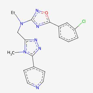 CCN(Cc1nnc(-c2ccncc2)n1C)c1noc(-c2cccc(Cl)c2)n1